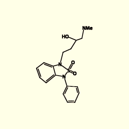 CNCC(O)CCN1c2ccccc2N(c2ccccc2)S1(=O)=O